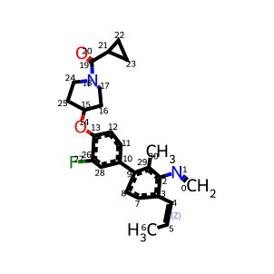 C=Nc1c(/C=C\C)ccc(-c2ccc(OC3CCN(C(=O)C4CC4)CC3)c(F)c2)c1C